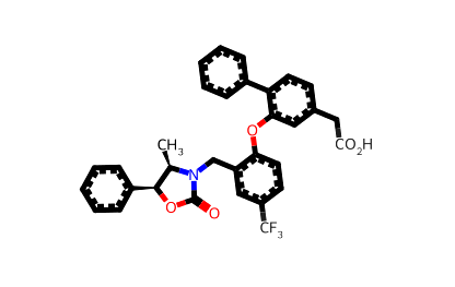 C[C@@H]1[C@H](c2ccccc2)OC(=O)N1Cc1cc(C(F)(F)F)ccc1Oc1cc(CC(=O)O)ccc1-c1ccccc1